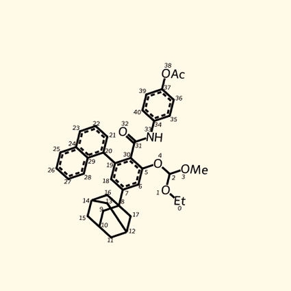 CCOC(OC)Oc1cc(C23CC4CC(CC(C4)C2)C3)cc(-c2cccc3ccccc23)c1C(=O)Nc1ccc(OC(C)=O)cc1